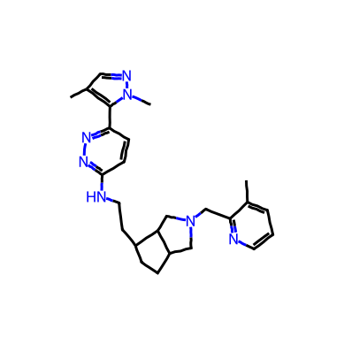 Cc1cccnc1CN1CC2CCC(CCNc3ccc(-c4c(C)cnn4C)nn3)C2C1